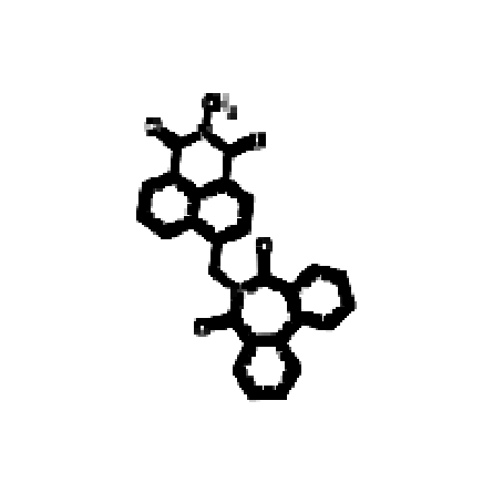 CN1C(=O)c2cccc3c(Cn4c(=O)c5ccccc5c5ccccc5c4=O)ccc(c23)C1=O